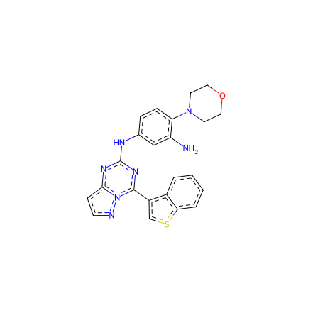 Nc1cc(Nc2nc(-c3csc4ccccc34)n3nccc3n2)ccc1N1CCOCC1